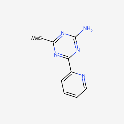 CSc1nc(N)nc(-c2ccccn2)n1